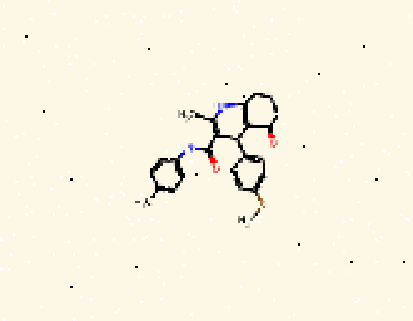 CSc1ccc(C2C(C(=O)Nc3ccc(C)cc3)=C(C)NC3=C2C(=O)CCC3)cc1